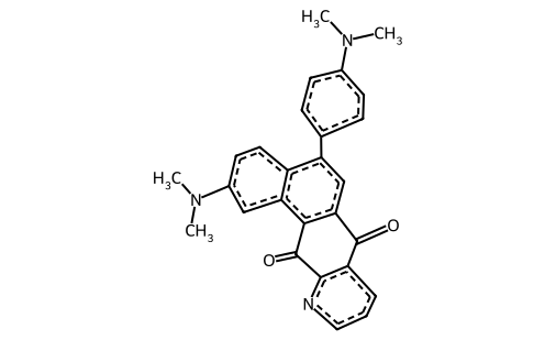 CN(C)c1ccc(-c2cc3c(c4cc(N(C)C)ccc24)C(=O)c2ncccc2C3=O)cc1